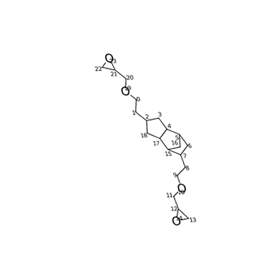 C(CC1CC2C3CC(CCOCC4CO4)C(C3)C2C1)OCC1CO1